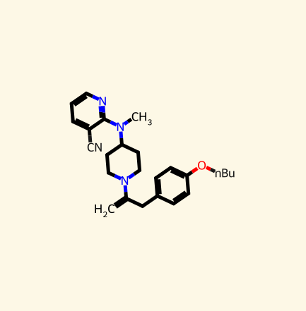 C=C(Cc1ccc(OCCCC)cc1)N1CCC(N(C)c2ncccc2C#N)CC1